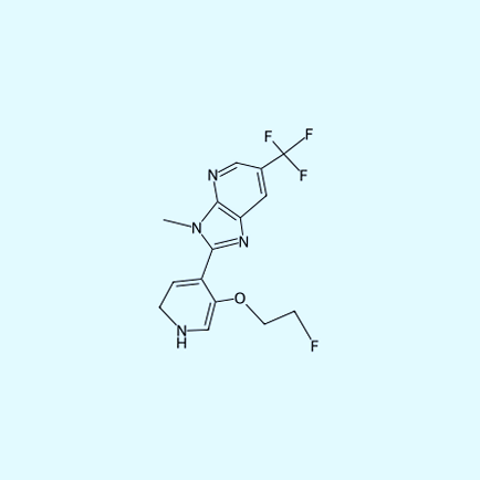 Cn1c(C2=CCNC=C2OCCF)nc2cc(C(F)(F)F)cnc21